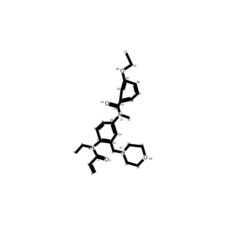 C=CC(=O)N(CC)c1ccc(N(C)C(=O)c2cccc(OCC)c2)cc1CN1CCOCC1